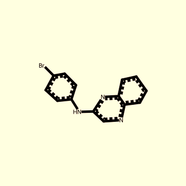 Brc1ccc(Nc2cnc3ccccc3n2)cc1